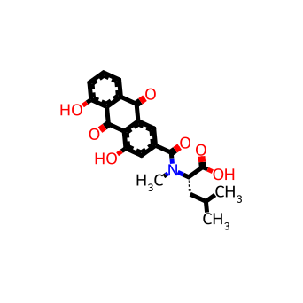 CC(C)C[C@@H](C(=O)O)N(C)C(=O)c1cc(O)c2c(c1)C(=O)c1cccc(O)c1C2=O